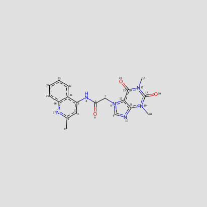 Cc1cc(NC(=O)Cn2cnc3c2c(=O)n(C)c(=O)n3C)c2ccccc2n1